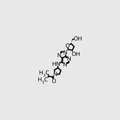 CC(C)C(=O)N1CCC(Nc2ncnc3c2ncn3[C@@H]2O[C@H](CO)C[C@H]2O)C1